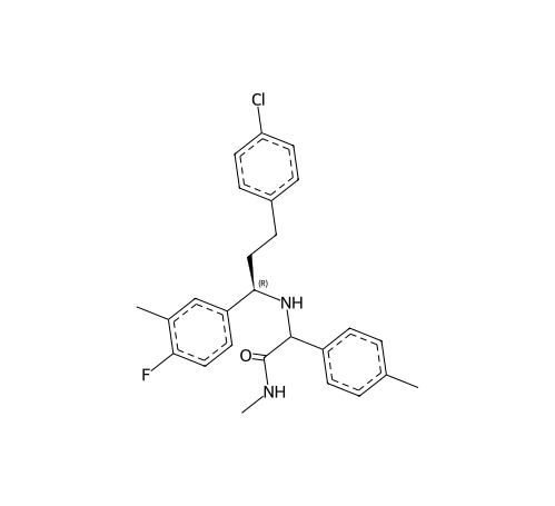 CNC(=O)C(N[C@H](CCc1ccc(Cl)cc1)c1ccc(F)c(C)c1)c1ccc(C)cc1